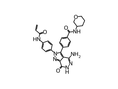 C=CC(=O)Nc1ccc(-n2nc3c(=O)[nH]nc(N)c3c2-c2ccc(C(=O)NC3CCCOC3)cc2)cc1